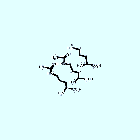 N=C(N)NCCC[C@H](N)C(=O)O.NC(=O)NCCC[C@H](N)C(=O)O.NCCC[C@H](N)C(=O)O